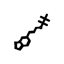 CC(C)(C)[Si](C)(C)OC/C=C/c1ccc2ccnn2c1